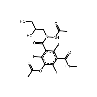 CNC(=O)c1c(I)c(OC(C)=O)c(I)c(C(=O)N(CC(O)CO)NC(C)=O)c1I